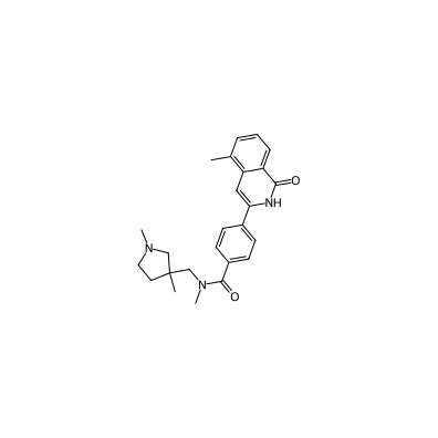 Cc1cccc2c(=O)[nH]c(-c3ccc(C(=O)N(C)CC4(C)CCN(C)C4)cc3)cc12